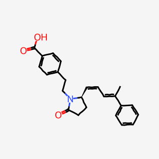 C/C(=C\C=C/[C@H]1CCC(=O)N1CCc1ccc(C(=O)O)cc1)c1ccccc1